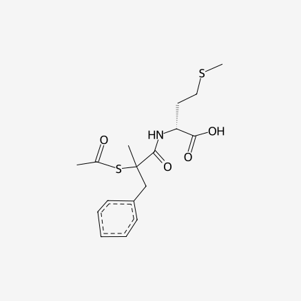 CSCC[C@@H](NC(=O)C(C)(Cc1ccccc1)SC(C)=O)C(=O)O